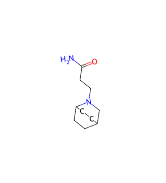 NC(=O)CCN1CC2CCC1CC2